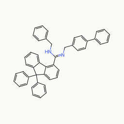 c1ccc(CN/C(=N\Cc2ccc(-c3ccccc3)cc2)c2cccc3c2-c2ccccc2C3(c2ccccc2)c2ccccc2)cc1